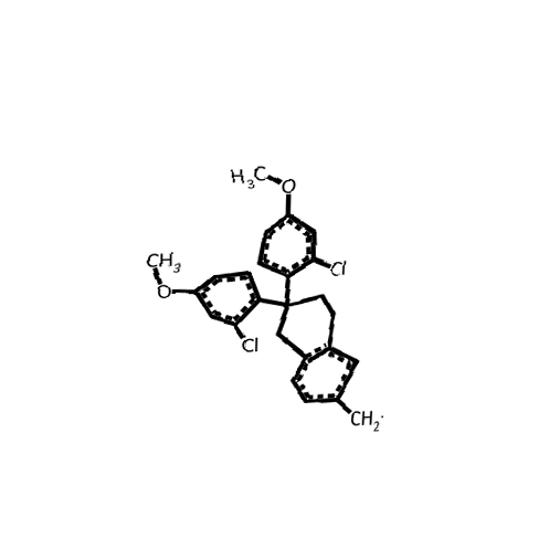 [CH2]c1ccc2c(c1)CCC(c1ccc(OC)cc1Cl)(c1ccc(OC)cc1Cl)C2